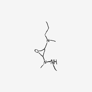 CCCN(C)C1OC1N(C)NC